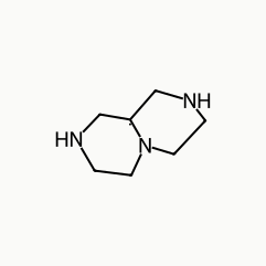 C1CN2CCNC[C]2CN1